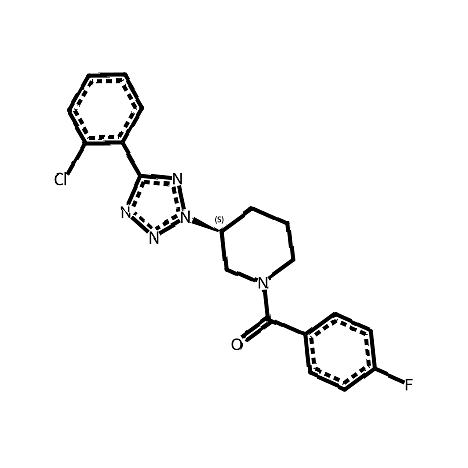 O=C(c1ccc(F)cc1)N1CCC[C@H](n2nnc(-c3ccccc3Cl)n2)C1